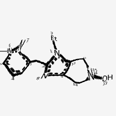 CCn1c(-c2cc[nH]n2)nc2c1CN(O)C2